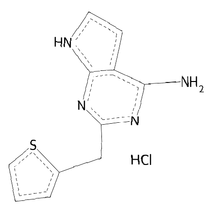 Cl.Nc1nc(Cc2cccs2)nc2[nH]ccc12